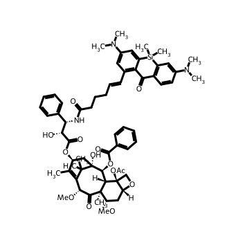 CO[C@H]1C(=O)[C@]2(C)[C@@H](OC)C[C@H]3OC[C@@]3(OC(C)=O)[C@H]2[C@H](OC(=O)c2ccccc2)[C@]2(O)C[C@H](OC(=O)[C@H](O)[C@@H](NC(=O)CCC/C=C/c3cc(N(C)C)cc4c3C(=O)c3ccc(N(C)C)cc3[Si]4(C)C)c3ccccc3)C(C)=C1C2(C)C